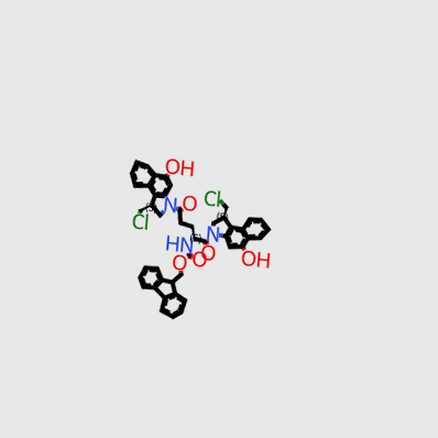 O=C(N[C@@H](CCC(=O)N1C[C@@H](CCl)c2c1cc(O)c1ccccc21)C(=O)N1C[C@@H](CCl)c2c1cc(O)c1ccccc21)OCC1c2ccccc2-c2ccccc21